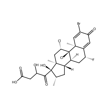 C[C@H]1C[C@H]2[C@@H]3C[C@@H](F)C4=CC(=O)C(Br)=C[C@]4(C)[C@@]3(Cl)[C@@H](Cl)C[C@]2(C)[C@@]1(O)C(=O)C(O)CC(=O)O